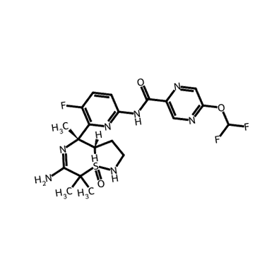 CC1(C)C(N)=N[C@](C)(c2nc(NC(=O)c3cnc(OC(F)F)cn3)ccc2F)[C@@H]2CCN[SH]21=O